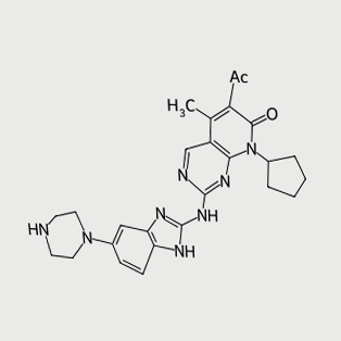 CC(=O)c1c(C)c2cnc(Nc3nc4cc(N5CCNCC5)ccc4[nH]3)nc2n(C2CCCC2)c1=O